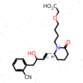 N#Cc1ccccc1CC(O)/C=C/[C@H]1CCCC(=O)N1CCCCOCC(=O)O